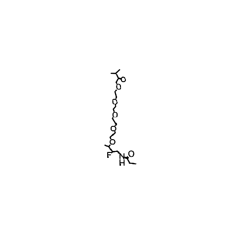 CCC(=O)NCC(F)C(C)OCCOCCOCCOCCOCC(=O)C(C)C